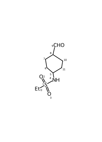 CCS(=O)(=O)NC1CCC(C=O)CC1